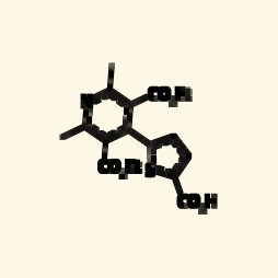 CCOC(=O)c1c(C)nc(C)c(C(=O)OCC)c1-c1ccc(C(=O)O)s1